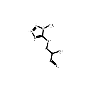 Cn1nnnc1SCC(O)[C]=S